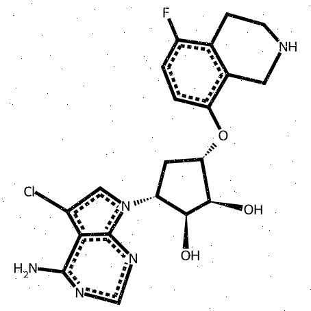 Nc1ncnc2c1c(Cl)cn2[C@@H]1C[C@H](Oc2ccc(F)c3c2CNCC3)[C@@H](O)[C@H]1O